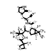 CC1(C(=O)N[C@H](C(=O)N2C[C@H]3[C@@H]([C@H]2C(=O)N[C@H](C#N)C[C@@H]2CCNC2=O)C3(C)C)C(C)(C)C)COC1